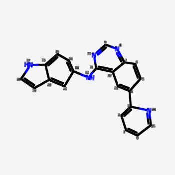 c1ccc(-c2ccc3ncnc(Nc4ccc5[nH]ccc5c4)c3c2)nc1